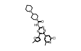 Cc1cc(-c2nnc(NC(=O)N3CCC(N4CCCCC4)CC3)nc2-c2ccc(C)o2)cc(Cl)n1